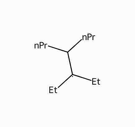 CCCC(CCC)[C](CC)CC